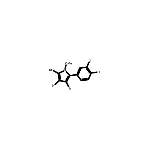 COn1c(C#N)c(Br)c(Br)c1-c1ccc(Cl)c(Cl)c1